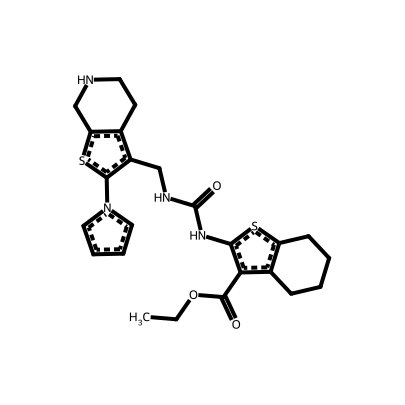 CCOC(=O)c1c(NC(=O)NCc2c(-n3cccc3)sc3c2CCNC3)sc2c1CCCC2